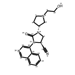 N#C[C@@H]1CN([C@@H]2CCN(CCO)C2)C(=O)N1c1cncc2ccccc12